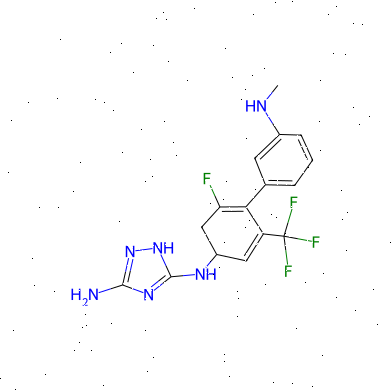 CNc1cccc(C2=C(F)CC(Nc3nc(N)n[nH]3)C=C2C(F)(F)F)c1